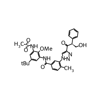 COc1c(NC(=O)c2ccc(C)c(-n3cc(C(=O)[C@H](CO)c4ccccc4)nn3)c2)cc(C(C)(C)C)cc1NS(C)(=O)=O